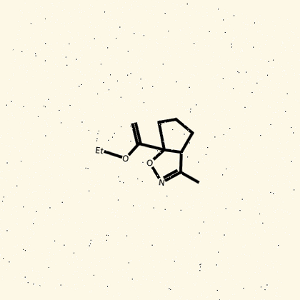 C=C(OCC)C12CCCC1C(C)=NO2